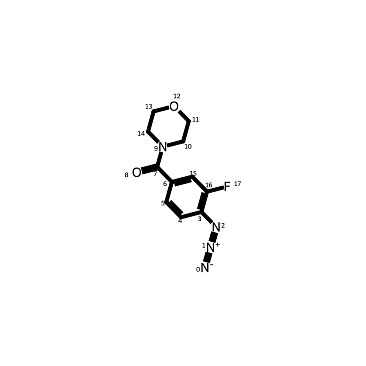 [N-]=[N+]=Nc1ccc(C(=O)N2CCOCC2)cc1F